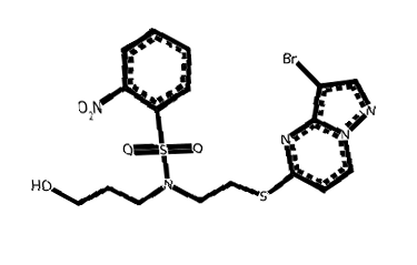 O=[N+]([O-])c1ccccc1S(=O)(=O)N(CCCO)CCSc1ccn2ncc(Br)c2n1